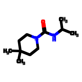 CC(C)NC(=O)N1CCC(C)(C)CC1